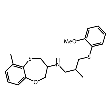 COc1ccccc1SCC(C)CNC1COc2cccc(C)c2SC1